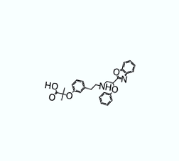 CC(C)(Oc1cccc(CCNCC(Oc2ccccc2)c2nc3ccccc3o2)c1)C(=O)O